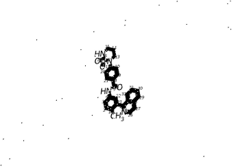 Cc1ccc(NC(=O)c2ccc(N3CCCNS3(=O)=O)cc2)cc1-c1nccc2ccccc12